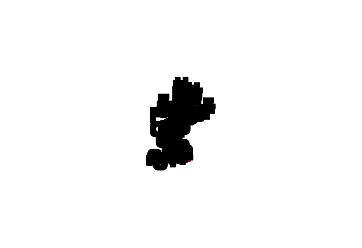 Cc1cc(CC(=O)OC(C)(C)C)c(C(C)(C)CC(=O)N(c2nn(C)c3c(-n4c([C@H](Cc5cc(F)cc(F)c5)NC(=O)Cn5nc(C(F)F)c6c5C(F)(F)[C@@H]5C[C@H]65)nc5nc(OCCC(F)(F)F)ccc5c4=O)ccc(Cl)c23)S(C)(=O)=O)c(OP(=O)(OC(C)C)OC(C)C)c1